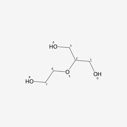 O[CH]C(CO)OCCO